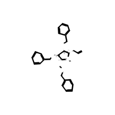 C=CC[C@@H]1[C@@H](OCc2ccccc2)[C@H](OCc2ccccc2)[C@@H](COCc2ccccc2)N1O